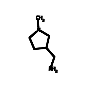 CN1CCC(CN)C1